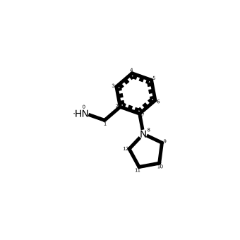 [NH]Cc1ccccc1N1CCCC1